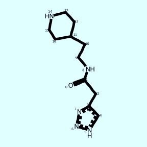 O=C(Cc1c[nH]nn1)NCCC1CCNCC1